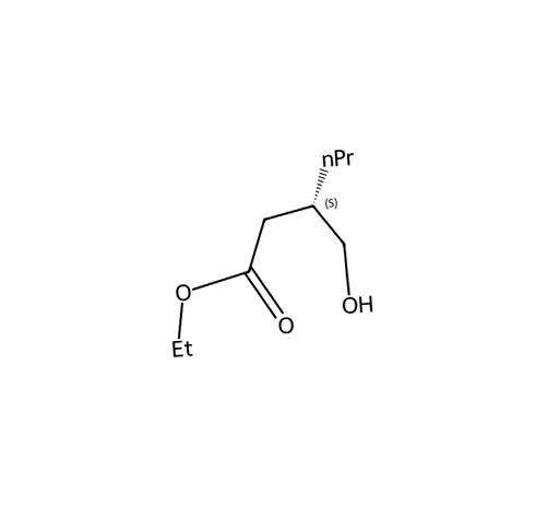 CCC[C@H](CO)CC(=O)OCC